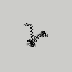 CCCCCCCCCCCCCCCCCCC(CCC)C(=O)OCCOOP(=O)(O)OCC.O=P(O)(O)O